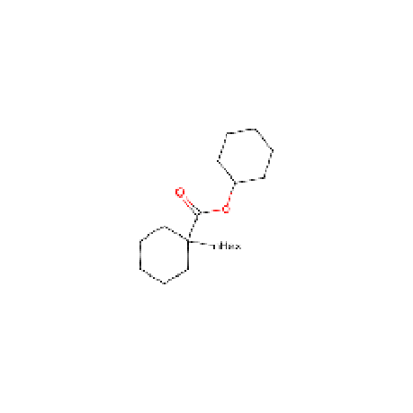 CCCCCCC1(C(=O)OC2CCCCC2)CCCCC1